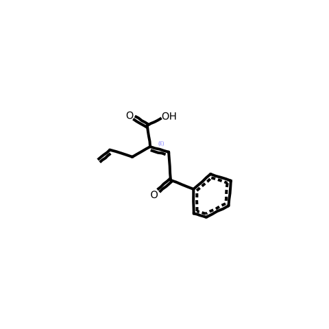 C=CC/C(=C\C(=O)c1ccccc1)C(=O)O